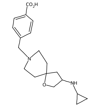 O=C(O)c1ccc(CN2CCC3(CC2)CC(NC2CC2)CO3)cc1